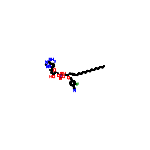 CCCCCCCCCCCCCCC#CC[C@H](COP(=O)(O)OC[C@H]1O[C@@](C)(c2ccc3c(N)ncnn23)C[C@@H]1O)OCc1ccc(C#N)c(F)c1